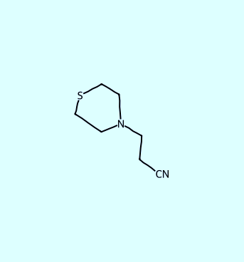 N#CCCN1CCSCC1